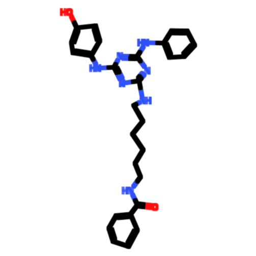 O=C(NCCCCCCNc1nc(Nc2ccccc2)nc(Nc2ccc(O)cc2)n1)c1ccccc1